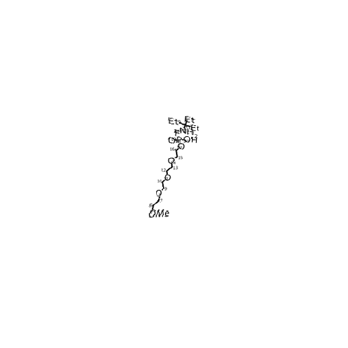 CCC(N)(CC)CC.COCCOCCOCCOCCOP(=O)(O)F